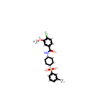 O=C(N[C@H]1CC[C@@H](S(=O)(=O)c2cccc(C(F)(F)F)c2)CC1)c1ccc(Cl)c(OC(F)(F)F)c1